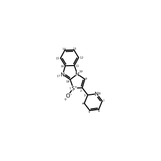 [O-][s+]1c(C2CC=CC=N2)cn2c3ccccc3nc21